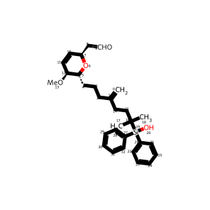 C=C(CCC[C@H]1O[C@H](CC=O)C=C[C@@H]1OC)CCC(C)(C)[Si](O)(c1ccccc1)c1ccccc1